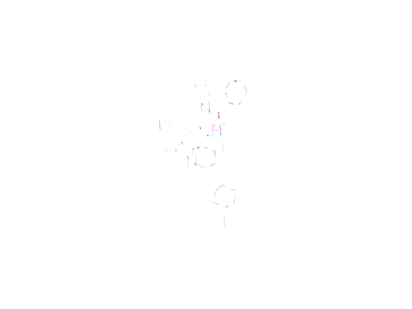 Bc1c(Cc2ccc(F)cc2)cnc(C(=O)OC(C)C)c1NCCN1C(=O)c2ccccc2C1=O